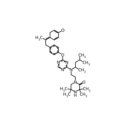 CC(Cc1ccc(Oc2n[c]nc(N(CCN3CC(C)(C)NC(C)(C)C3=O)C(C)CC(C)C)n2)cc1)=C1C=CC([O])=CC1